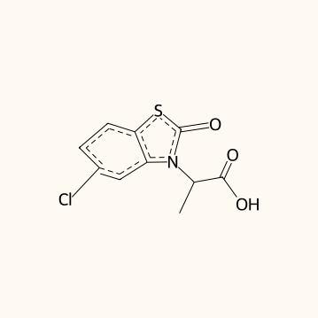 CC(C(=O)O)n1c(=O)sc2ccc(Cl)cc21